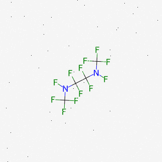 FN(C(F)(F)F)C(F)(F)C(F)(F)N(F)C(F)(F)F